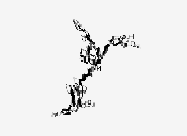 CC(C)(C)OC(=O)CN(CCN(CCN(CC(=O)OC(C)(C)C)CC(=O)OC(C)(C)C)CC(=O)NCCCCCC(=O)NNC(=O)[C@@H](Cc1c[nH]cn1)NC(=O)OC(C)(C)C)CC(=O)O